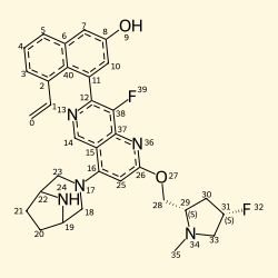 C=Cc1cccc2cc(O)cc(-c3ncc4c(N5CC6CCC(C5)N6)cc(OC[C@@H]5C[C@H](F)CN5C)nc4c3F)c12